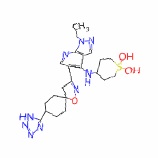 CCn1ncc2c(NC3CCS(O)(O)CC3)c(C3=NOC4(CCC(c5nnn[nH]5)CC4)C3)cnc21